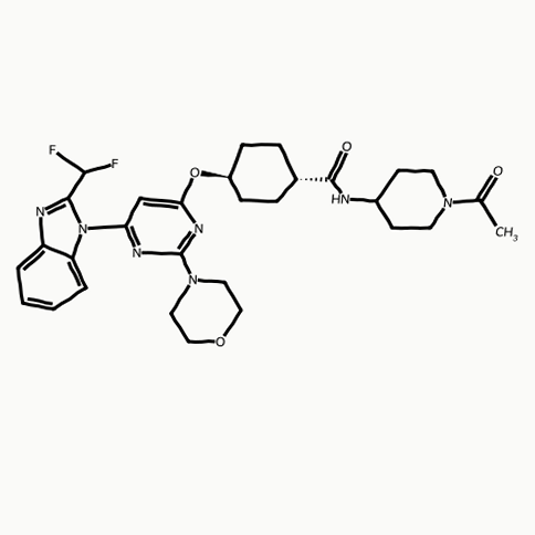 CC(=O)N1CCC(NC(=O)[C@H]2CC[C@H](Oc3cc(-n4c(C(F)F)nc5ccccc54)nc(N4CCOCC4)n3)CC2)CC1